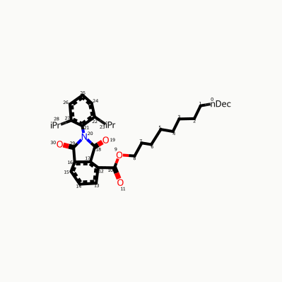 CCCCCCCCCCCCCCCCCCOC(=O)c1cccc2c1C(=O)N(c1c(C(C)C)cccc1C(C)C)C2=O